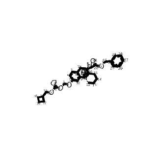 O=C(OCOc1ccc2c(c1)[C@]13CCCC[C@@H]1[C@H](C2)N(C(=O)OCc1ccccc1)CC3)OCC1CCC1